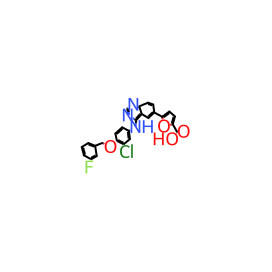 O=C(O)c1ccc(-c2ccc3ncnc(Nc4ccc(OCc5cccc(F)c5)c(Cl)c4)c3c2)o1